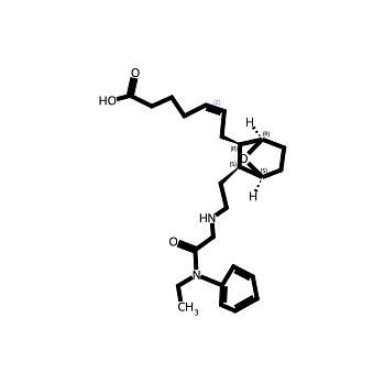 CCN(C(=O)CNCC[C@H]1[C@@H](C/C=C\CCCC(=O)O)[C@H]2CC[C@@H]1O2)c1ccccc1